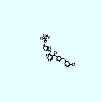 NS(=O)(=O)OC[C@@H]1CC[C@H](Nc2ncncc2C(=O)c2cc(Cc3cncc(Cl)c3)cs2)C1